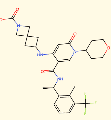 Cc1c([C@@H](C)NC(=O)c2cn(C3CCOCC3)c(=O)cc2NC2CC3(C2)CN(C(=O)O)C3)cccc1C(F)(F)F